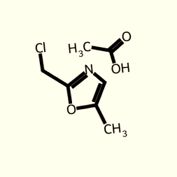 CC(=O)O.Cc1cnc(CCl)o1